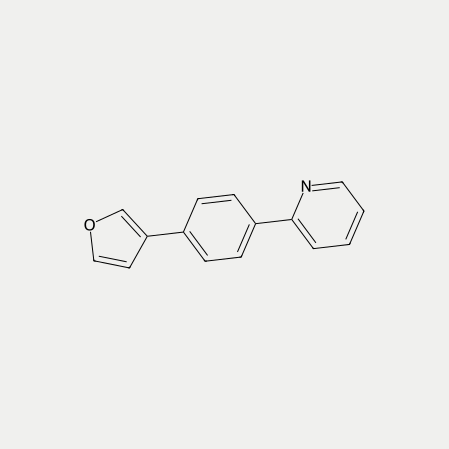 c1ccc(-c2ccc(-c3ccoc3)cc2)nc1